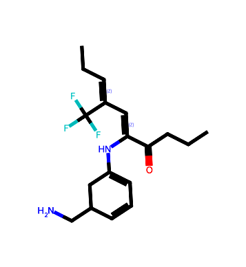 CC/C=C(/C=C(\NC1=CC=CC(CN)C1)C(=O)CCC)C(F)(F)F